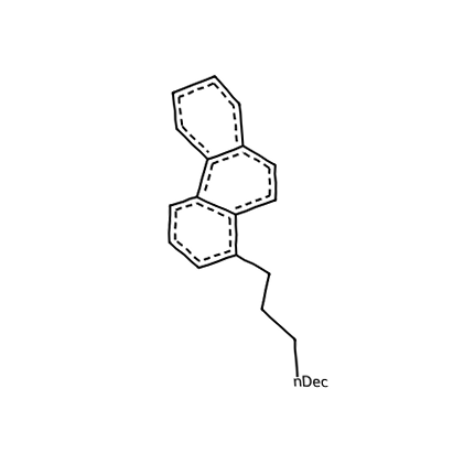 [CH2]CCCCCCCCCCCCc1cccc2c1ccc1ccccc12